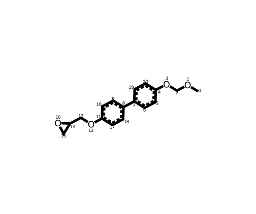 COCOc1ccc(-c2ccc(OCC3CO3)cc2)cc1